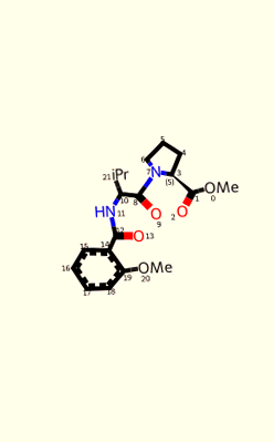 COC(=O)[C@@H]1CCCN1C(=O)C(NC(=O)c1ccccc1OC)C(C)C